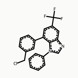 FC(F)(F)c1cc(-c2cccc(CCl)c2)c2c(c1)ncn2-c1ccccc1